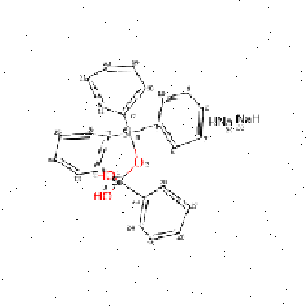 O[Si](O)(O[Si](c1ccccc1)(c1ccccc1)c1ccccc1)c1ccccc1.[NaH].[NaH]